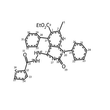 CCOC(=O)c1c(C)nc2c(c(NNC(=O)c3cccs3)nc(=O)n2-c2ccccc2)c1-c1ccccc1